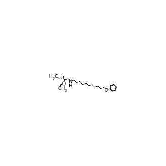 CCOC(CNCCCCCCCCCCCOc1ccccc1)OCC